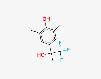 Cc1cc(C(C)(O)C(F)(F)F)cc(C)c1O